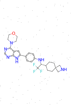 FC(F)(F)C(Nc1ccc(-c2cc3c(N4CCOCC4)ncnc3[nH]2)cc1)C1CCC2(CC1)CNC2